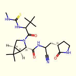 CNC(=S)NC(C(=O)N1C[C@H]2[C@@H]([C@H]1C(=O)NC(C#N)C[C@@H]1CCNC1=O)C2(C)C)C(C)(C)C